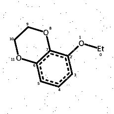 [CH2]COc1cccc2c1OCCO2